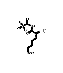 C=C(CCCCCCCCCCCCCC)C(=O)NC(CC)S(=O)(=O)[O-].[K+]